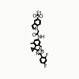 CCS(=O)(=O)c1ccc2c(ccn2CC(=O)Nc2cc(C)c(C3(c4noc(-c5ccc(F)cc5F)n4)CC3)c(C)c2)c1